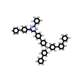 c1ccc(-c2ccc(-c3cc(-c4ccc(-c5ccc(N(c6ccc(-c7ccccc7)cc6)c6ccc(-c7cccc(-c8ccccc8)c7)cc6)cc5)cc4)nc(-c4ccccc4)n3)cc2)cc1